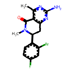 Cc1nc(N)nc2c1C(=O)N(C)C(c1ccc(F)cc1Br)C2